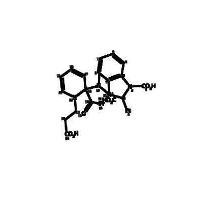 CCC1N(C(=O)O)c2ccc3cc2[N+]1(C(=O)O)N3C1(C(=O)C(C)C)C=CC=CN1CCC(=O)O